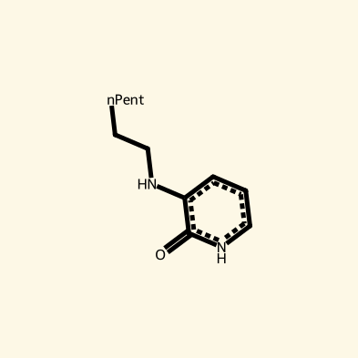 CCCCCCCNc1ccc[nH]c1=O